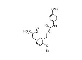 CCOc1ccc(CC(OC(C)C)C(=O)O)cc1CCOC(=O)Nc1ccc(OC)cc1